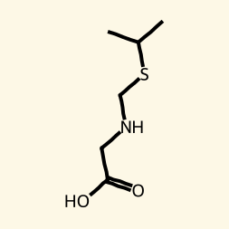 CC(C)SCNCC(=O)O